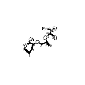 C=C(COc1cccnc1C#N)OC(=O)N(CC)CC